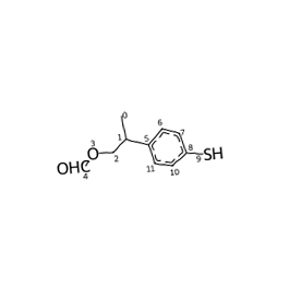 CC(COC=O)c1ccc(S)cc1